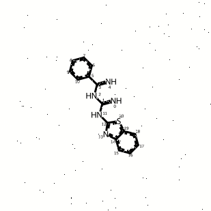 N=C(NC(=N)c1ccccc1)Nc1nc2ccccc2s1